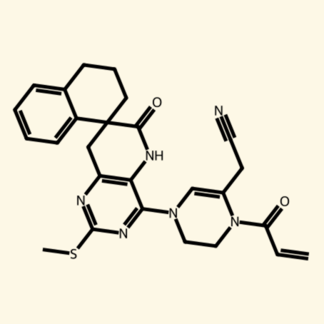 C=CC(=O)N1CCN(c2nc(SC)nc3c2NC(=O)C2(CCCc4ccccc42)C3)C=C1CC#N